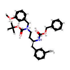 Bc1cccc(C[C@@H](CCN(Cc2cccc(OC)c2)C(=O)OC(C)(C)C)NC(=O)OCc2ccccc2)c1